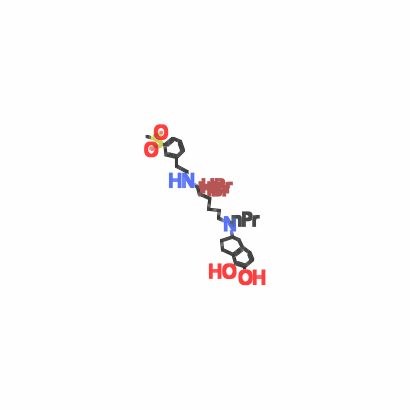 Br.Br.CCCN(CCCCCCNCCc1cccc(S(C)(=O)=O)c1)C1CCc2c(ccc(O)c2O)C1